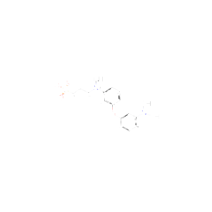 CN(C)c1cccc(Oc2cccc(N(C)CCCS(=O)(=O)O)c2)c1